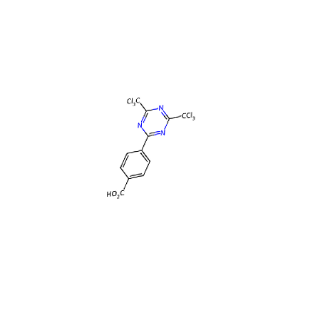 O=C(O)c1ccc(-c2nc(C(Cl)(Cl)Cl)nc(C(Cl)(Cl)Cl)n2)cc1